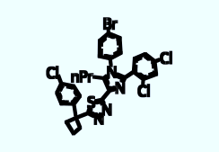 CCCc1c(-c2nnc(C3(c4ccc(Cl)cc4)CCC3)s2)nc(-c2ccc(Cl)cc2Cl)n1-c1ccc(Br)cc1